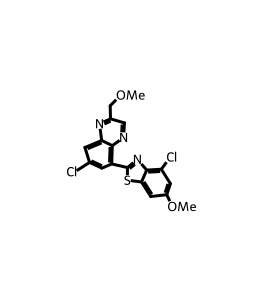 COCc1cnc2c(-c3nc4c(Cl)cc(OC)cc4s3)cc(Cl)cc2n1